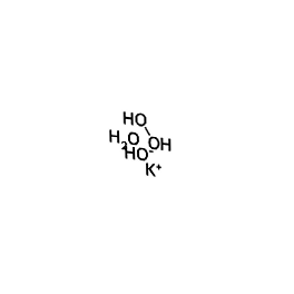 O.OO.[K+].[OH-]